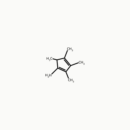 CC1=C(C)C(C)[C]([InH2])=C1C